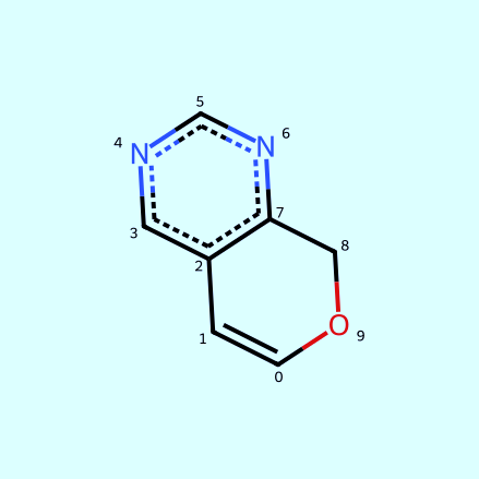 C1=Cc2cncnc2CO1